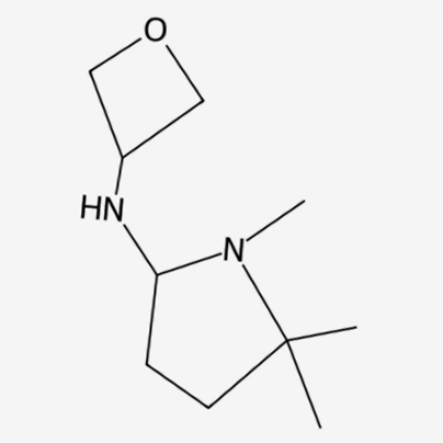 CN1C(NC2COC2)CCC1(C)C